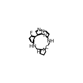 Fc1ccc2cc1-c1cnn3ccc(nc13)NCCN1CCC[C@H]1CN2